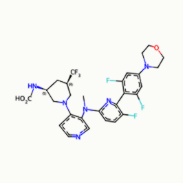 CN(c1ccc(F)c(-c2c(F)cc(N3CCOCC3)cc2F)n1)c1cnccc1N1C[C@@H](NC(=O)O)C[C@@H](C(F)(F)F)C1